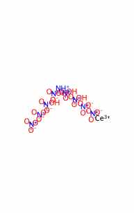 O=[N+]([O-])O.O=[N+]([O-])O.O=[N+]([O-])O.O=[N+]([O-])O.O=[N+]([O-])[O-].O=[N+]([O-])[O-].O=[N+]([O-])[O-].O=[N+]([O-])[O-].[Ce+3].[NH4+]